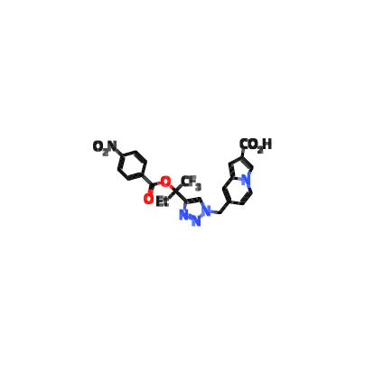 CCC(OC(=O)c1ccc([N+](=O)[O-])cc1)(c1cn(Cc2ccn3cc(C(=O)O)cc3c2)nn1)C(F)(F)F